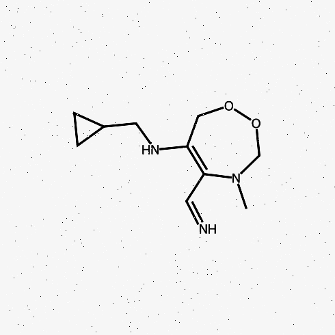 CN1COOCC(NCC2CC2)=C1C=N